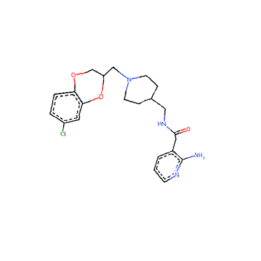 Nc1ncccc1C(=O)NCC1CCN(CC2COc3ccc(Cl)cc3O2)CC1